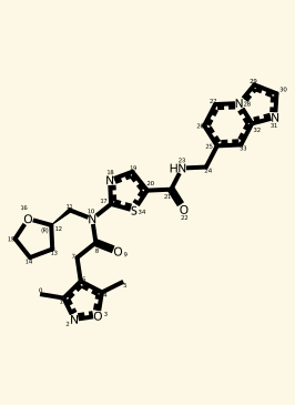 Cc1noc(C)c1CC(=O)N(C[C@H]1CCCO1)c1ncc(C(=O)NCc2ccn3ccnc3c2)s1